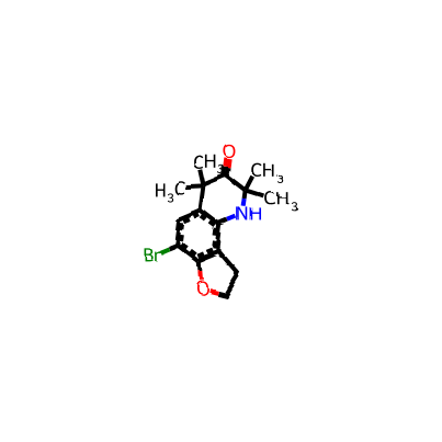 CC1(C)Nc2c(cc(Br)c3c2CCO3)C(C)(C)C1=O